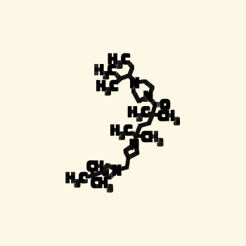 CCC(C(C)C)N1CCN(C(=O)C(C)(C)CCC(C)(C)N2CC(CN3CC(C(C)(C)C)C3)C2)CC1